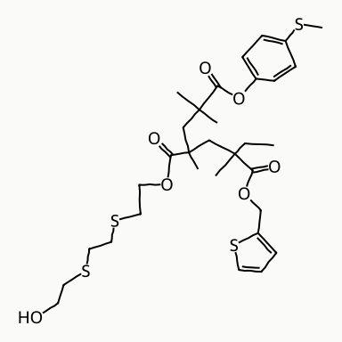 CCC(C)(CC(C)(CC(C)(C)C(=O)Oc1ccc(SC)cc1)C(=O)OCCSCCSCCO)C(=O)OCc1cccs1